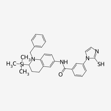 C[Si](C)(C)C1CCc2cc(NC(=O)c3cccc(-n4ccnc4S)c3)ccc2N1Cc1ccccc1